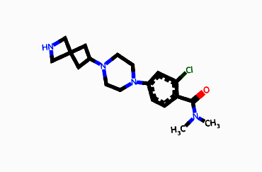 CN(C)C(=O)c1ccc(N2CCN(C3CC4(CNC4)C3)CC2)cc1Cl